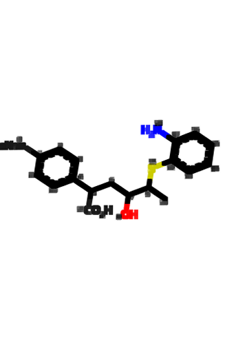 CCCCCCCCCc1ccc(C(CC(O)C(C)Sc2ccccc2N)C(=O)O)cc1